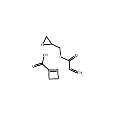 C=CC(=O)OCC1CO1.O=C(O)C1=CCC1